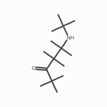 CC(C)(C)NC(C)(C)C(C)(C)C(=O)C(C)(C)C